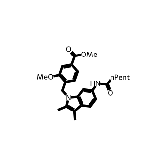 CCCCCC(=O)Nc1ccc2c(C)c(C)n(Cc3ccc(C(=O)OC)cc3OC)c2c1